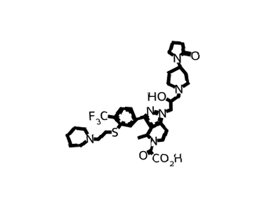 CC1c2c(-c3ccc(C(F)(F)F)c(SCCN4CCCCC4)c3)nn(CC(O)CN3CCC(N4CCCC4=O)CC3)c2CCN1C(=O)C(=O)O